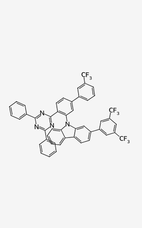 FC(F)(F)c1cccc(-c2ccc(-c3nc(-c4ccccc4)nc(-c4ccccc4)n3)c(-n3c4ccccc4c4ccc(-c5cc(C(F)(F)F)cc(C(F)(F)F)c5)cc43)c2)c1